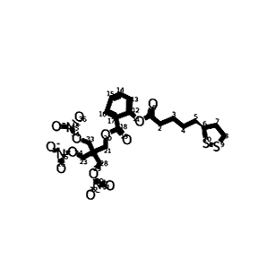 O=C(CCCC[C@H]1CCSS1)Oc1ccccc1C(=O)OCC(CO[N+](=O)[O-])(CO[N+](=O)[O-])CO[N+](=O)[O-]